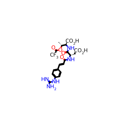 C[C@@H](OC(=O)C(F)(F)F)[C@H](NC(=O)[C@H](CC(=O)O)NC(=O)C=Cc1ccc(NC(=N)N)cc1)C(=O)O